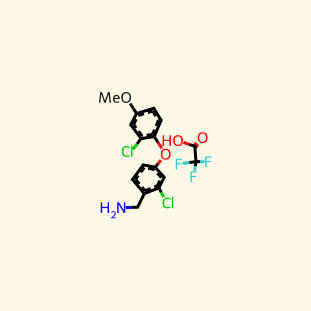 COc1ccc(Oc2ccc(CN)c(Cl)c2)c(Cl)c1.O=C(O)C(F)(F)F